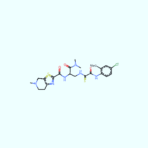 COc1cc(Cl)ccc1NC(=O)C(=S)NCC(NC(=O)c1nc2c(s1)CN(C)CC2)C(=O)N(C)C